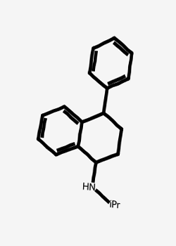 CC(C)NC1CCC(c2ccccc2)c2ccccc21